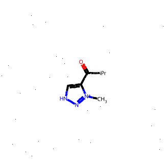 CC(C)C(=O)c1c[nH]n[n+]1C